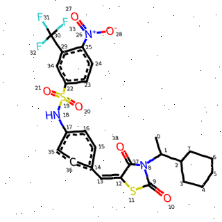 CC(C1CCCCC1)N1C(=O)SC(=Cc2ccc(NS(=O)(=O)c3ccc([N+](=O)[O-])c(C(F)(F)F)c3)cc2)C1=O